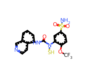 NS(=O)(=O)c1ccc(OC(F)(F)F)c(N(S)C(=O)Nc2cccc3cnccc23)c1